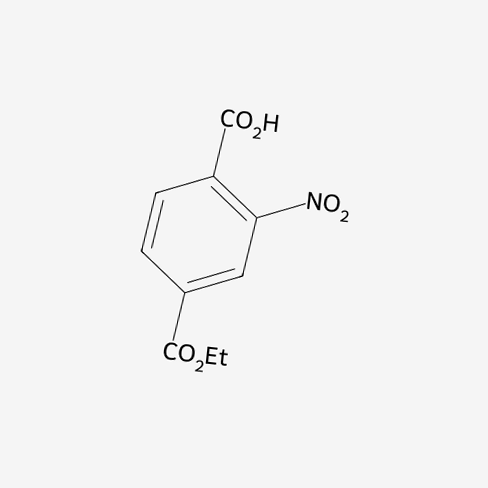 CCOC(=O)c1ccc(C(=O)O)c([N+](=O)[O-])c1